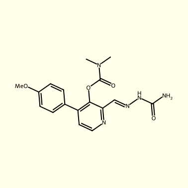 COc1ccc(-c2ccnc(C=NNC(N)=O)c2OC(=O)N(C)C)cc1